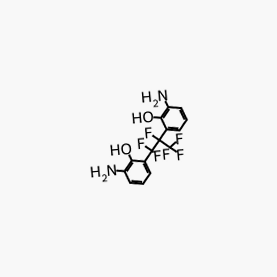 Nc1cccc(C(F)(F)C(F)(c2cccc(N)c2O)C(F)(F)F)c1O